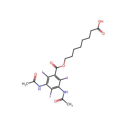 CC(=O)Nc1c(I)c(NC(C)=O)c(I)c(C(=O)OCCCCCCCC(=O)O)c1I